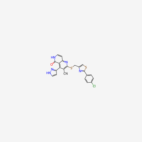 N#Cc1c(SCc2csc(-c3ccc(Cl)cc3)n2)nc2cc[nH]c(=O)c2c1-c1cc[nH]n1